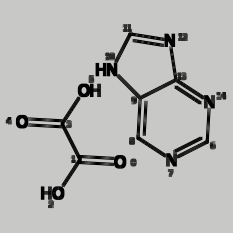 O=C(O)C(=O)O.c1ncc2[nH]cnc2n1